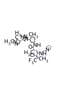 C=C(/C=C(NCCN1CCCC1)\C(Cl)=C(/C)C(F)(F)F)C(=O)Nc1ccc(C)c(-n2cc(-c3cnn(C)c3C)nn2)c1